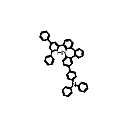 c1ccc(-c2cc(-c3ccccc3)cc(-c3cccc4c3Nc3ccc(-c5ccc(N(c6ccccc6)c6ccccc6)cc5)cc3-c3ccccc3-4)c2)cc1